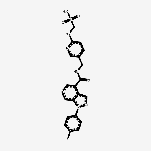 CS(=O)(=O)CNc1ccc(CNC(=O)c2cncc3c2cnn3-c2ccc(F)cc2)cn1